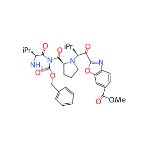 COC(=O)c1ccc2nc(C(=O)[C@H](C(C)C)N3CCC[C@H]3C(=O)N(C(=O)OCc3ccccc3)C(=O)[C@@H](N)C(C)C)oc2c1